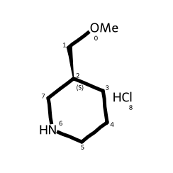 COC[C@H]1CCCNC1.Cl